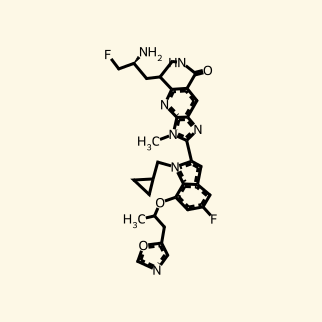 CC(Cc1cnco1)Oc1cc(F)cc2cc(-c3nc4cc5c(nc4n3C)C(C[C@H](N)CF)CNC5=O)n(CC3CC3)c12